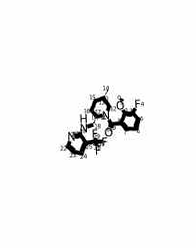 COc1c(F)cccc1C(=O)N1C[C@@H](C)CC[C@H]1CNc1ncccc1C(F)(F)F